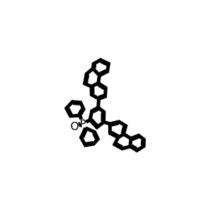 O=P(c1ccccc1)(c1ccccc1)c1cc(-c2ccc3c(ccc4ccccc43)c2)cc(-c2ccc3c(ccc4ccccc43)c2)c1